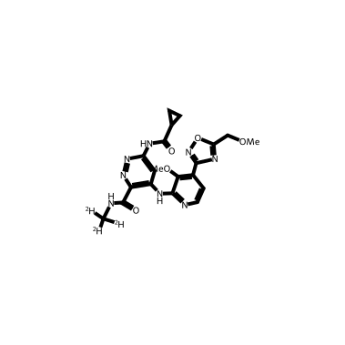 [2H]C([2H])([2H])NC(=O)c1nnc(NC(=O)C2CC2)cc1Nc1nccc(-c2noc(COC)n2)c1OC